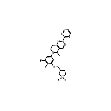 CC1c2cnc(-c3ncccn3)nc2CCN1c1cc(F)c(F)c(OCC2CCS(=O)(=O)C2)c1